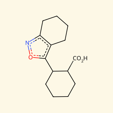 O=C(O)C1CCCCC1c1onc2c1CCCC2